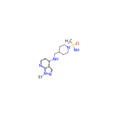 CCn1ncc2c(NCC3CCN(S(C)(=N)=O)CC3)ccnc21